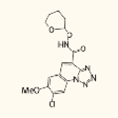 COc1cc2cc(C(=O)NOC3CCCCO3)c3nnnn3c2cc1Cl